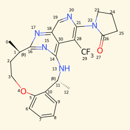 C[C@@H]1CCOc2ccccc2[C@@H](C)Nc2nc1nc1cnc(N3CCCC3=O)c(C(F)(F)F)c21